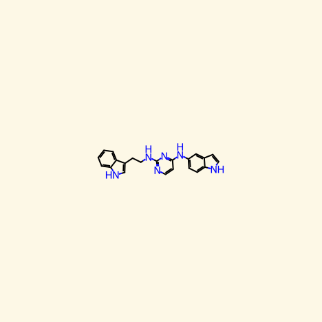 c1ccc2c(CCNc3nccc(Nc4ccc5[nH]ccc5c4)n3)c[nH]c2c1